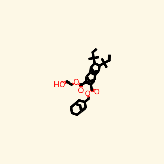 CCC(C)(C)C1C2CC(C3C4CC(C(C(=O)OCCO)C4C(=O)OCC4CC5CCCC(C5)C4)C23)C1C(C)(C)CC